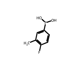 Cc1cc(P(O)O)ccc1F